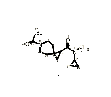 CN(C(=O)C1CC12CCN(C(=O)C(C)(C)C)CC2)C1CC1